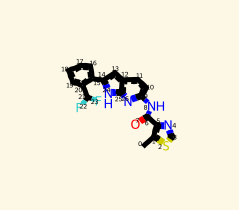 Cc1scnc1C(=O)Nc1ccc2cc(-c3ccccc3C(F)F)[nH]c2n1